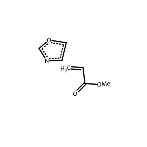 C=CC(=O)OC.c1cocn1